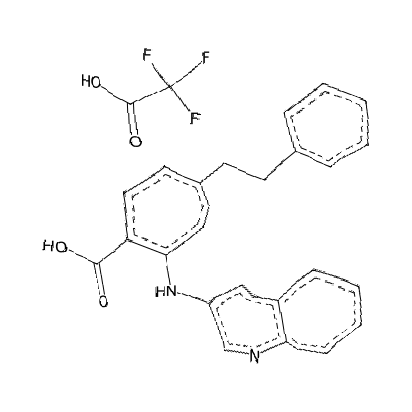 O=C(O)C(F)(F)F.O=C(O)c1ccc(CCc2ccccc2)cc1Nc1cnc2ccccc2c1